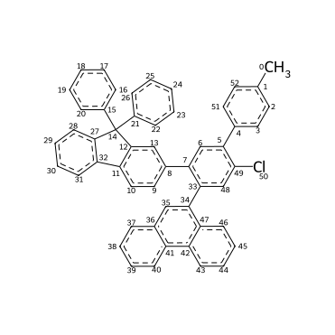 Cc1ccc(-c2cc(-c3ccc4c(c3)C(c3ccccc3)(c3ccccc3)c3ccccc3-4)c(-c3cc4ccccc4c4ccccc34)cc2Cl)cc1